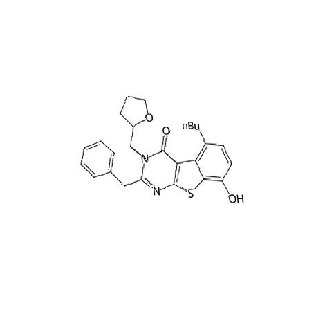 CCCCc1ccc(O)c2sc3nc(Cc4ccccc4)n(CC4CCCO4)c(=O)c3c12